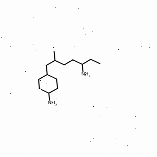 CCC(N)CCC(C)CC1CCC(N)CC1